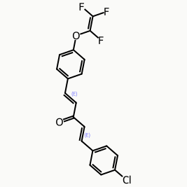 O=C(/C=C/c1ccc(Cl)cc1)/C=C/c1ccc(OC(F)=C(F)F)cc1